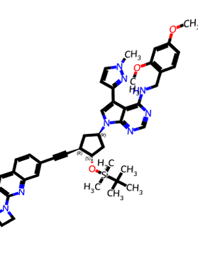 COc1ccc(CNc2ncnc3c2c(-c2ccn(C)n2)cn3[C@H]2C[C@H](O[Si](C)(C)C(C)(C)C)[C@@H](C#Cc3ccc4ccc(N5CCC5)nc4c3)C2)c(OC)c1